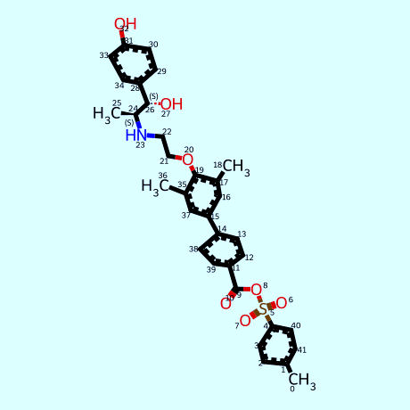 Cc1ccc(S(=O)(=O)OC(=O)c2ccc(-c3cc(C)c(OCCN[C@@H](C)[C@@H](O)c4ccc(O)cc4)c(C)c3)cc2)cc1